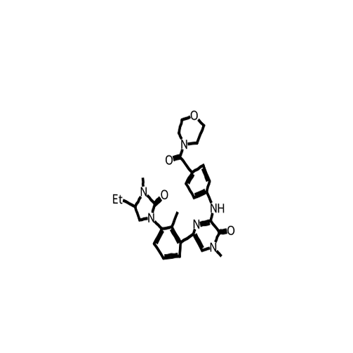 CCC1CN(c2cccc(-c3cn(C)c(=O)c(Nc4ccc(C(=O)N5CCOCC5)cc4)n3)c2C)C(=O)N1C